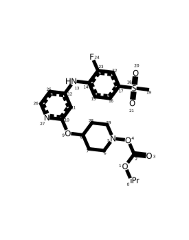 CC(C)OC(=O)ON1CCC(Oc2cc(Nc3ccc(S(C)(=O)=O)cc3F)ccn2)CC1